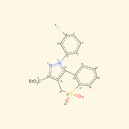 CCOC(=O)c1nn(-c2cccc(F)c2)c2c1CS(=O)(=O)c1ccccc1-2